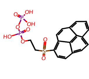 O=P(O)(O)OP(=O)(O)OCCS(=O)(=O)c1ccc2ccc3cccc4ccc1c2c34